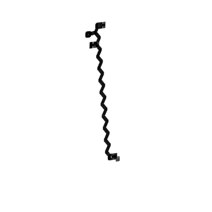 CCCCCCCCCCCCCCCCCCCNCC(=O)O